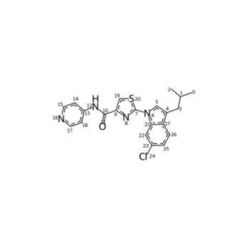 CC(C)Cc1cn(-c2nc(C(=O)Nc3ccncc3)cs2)c2cc(Cl)ccc12